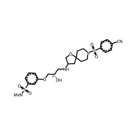 CNS(=O)(=O)c1cccc(OC[C@@H](O)CNC2COC3(CCN(S(=O)(=O)c4ccc(C#N)cc4)CC3)C2)c1